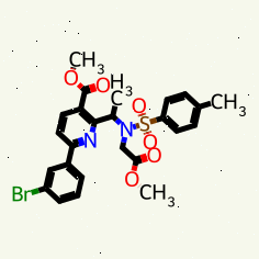 COC(=O)CN(C(C)c1nc(-c2cccc(Br)c2)ccc1C(=O)OC)S(=O)(=O)c1ccc(C)cc1